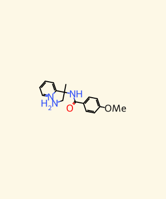 COc1ccc(C(=O)NC(C)(CN)c2ccccn2)cc1